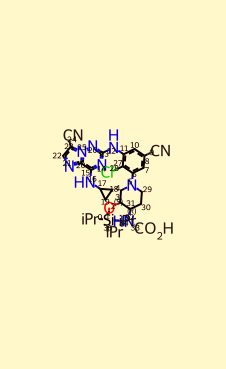 CC(C)[Si](O[C@H]1CN(c2cc(C#N)cc(Nc3nc(NC4CC4)c4ncc(C#N)n4n3)c2Cl)CC[C@H]1NC(=O)O)(C(C)C)C(C)C